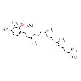 CCCCCCCCOC1C(CCC(C)CCCC(C)CCC/C(C)=C/CCC(C)C(=O)O)=CC=C(C)C1C